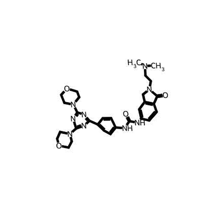 CN(C)CCN1Cc2cc(NC(=O)Nc3ccc(-c4nc(N5CCOCC5)nc(N5CCOCC5)n4)cc3)ccc2C1=O